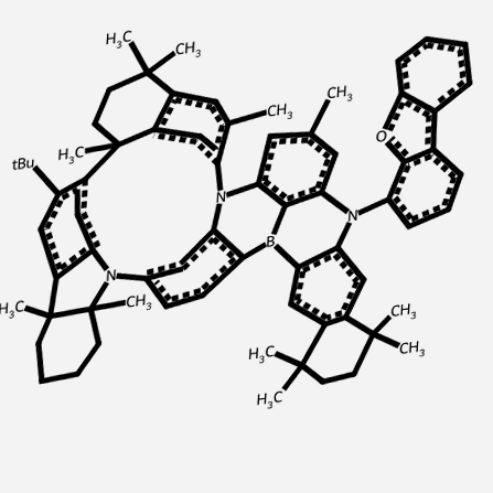 Cc1cc2c3c(c1)N(c1cccc4c1oc1ccccc14)c1cc4c(cc1B3c1ccc3cc1N2c1cc2c(cc1C)C(C)(C)CCC2(C)c1cc2c(cc1C(C)(C)C)C1(C)CCCCC1(C)N32)C(C)(C)CCC4(C)C